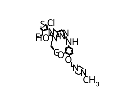 CCN1CCN(CCOc2ccc3cc2OC/C=C\CN2c4nc(ncc4CN(c4c(CF)csc4Cl)C2O)N3)CC1